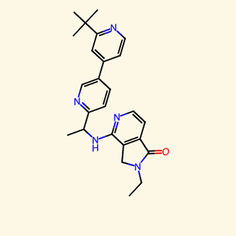 CCN1Cc2c(ccnc2NC(C)c2ccc(-c3ccnc(C(C)(C)C)c3)cn2)C1=O